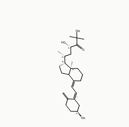 C=C1CC[C@H](O)C/C1=C/C=C1CCC[C@@]2(C)C1CC[C@@H]2[C@H](C)C[C@H](O)C(=O)C(C)(C)O